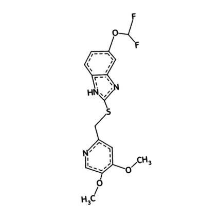 COc1cnc(CSc2nc3cc(OC(F)F)ccc3[nH]2)cc1OC